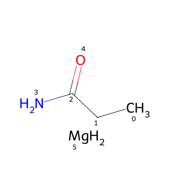 CCC(N)=O.[MgH2]